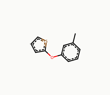 Cc1cccc(Oc2c[c]cs2)c1